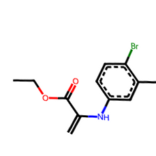 C=C(Nc1ccc(Br)c(C)c1)C(=O)OCC